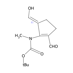 CN(C(=O)OC(C)(C)C)C1=C(C=O)CC/C1=C\O